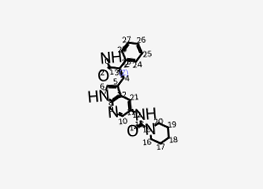 NC(=O)/C(=C\c1c[nH]c2ncc(NC(=O)N3CCCCC3)cc12)c1ccccc1